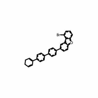 Brc1cccc2oc3ccc(-c4ccc(-c5ccc(C6=CCCC=C6)cc5)cc4)cc3c12